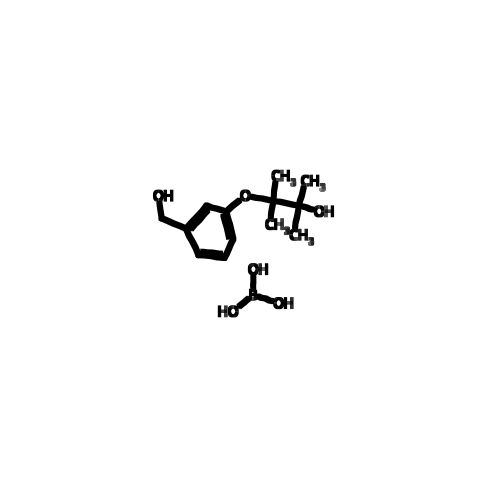 CC(C)(O)C(C)(C)Oc1cccc(CO)c1.OB(O)O